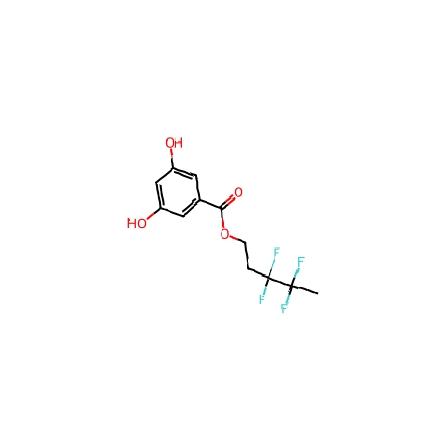 CC(F)(F)C(F)(F)CCOC(=O)c1cc(O)cc(O)c1